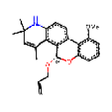 C=CCO[C@H]1Oc2cccc(OC)c2-c2ccc3c(c21)C(C)=CC(C)(C)N3